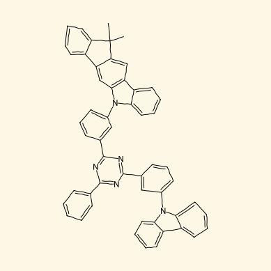 CC1(C)c2ccccc2-c2cc3c(cc21)c1ccccc1n3-c1cccc(-c2nc(-c3ccccc3)nc(-c3cccc(-n4c5ccccc5c5ccccc54)c3)n2)c1